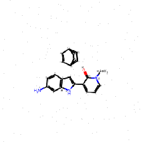 Nc1ccc2cc(-c3cccn([AsH2])c3=O)[nH]c2c1.c1cc2ccc1CC2